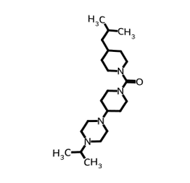 CC(C)CC1CCN(C(=O)N2CCC(N3CCN(C(C)C)CC3)CC2)CC1